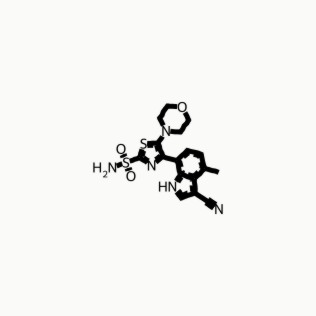 Cc1ccc(-c2nc(S(N)(=O)=O)sc2N2CCOCC2)c2[nH]cc(C#N)c12